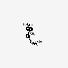 CN(CCCOc1cccc(CN(C)c2cccc3c(N(C)C)cccc23)c1)CCC(=O)OC(C)(C)C